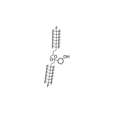 Oc1cccc(C2(CCC(F)(F)C(F)(F)C(F)(F)C(F)(F)C(F)(F)C(F)(F)F)OCC(CCC(F)(F)C(F)(F)C(F)(F)C(F)(F)C(F)(F)C(F)(F)F)O2)c1